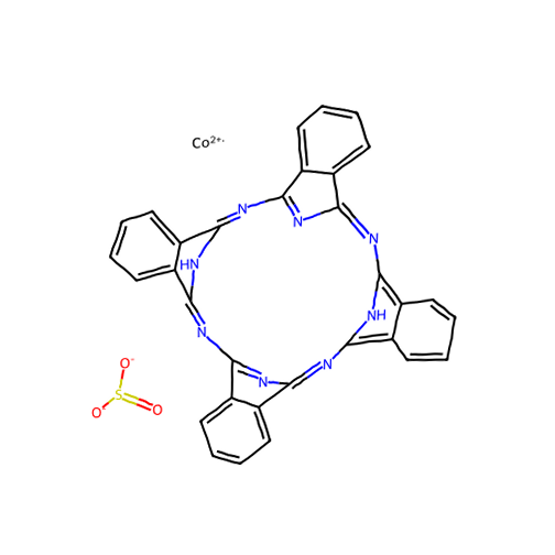 O=S([O-])[O-].[Co+2].c1ccc2c(c1)-c1nc-2nc2[nH]c(nc3nc(nc4[nH]c(n1)c1ccccc41)-c1ccccc1-3)c1ccccc21